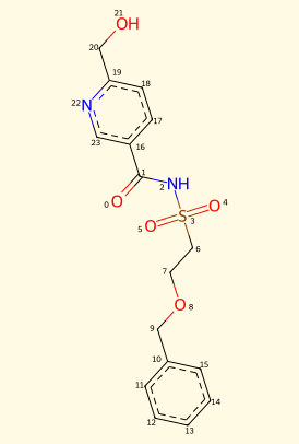 O=C(NS(=O)(=O)CCOCc1ccccc1)c1ccc(CO)nc1